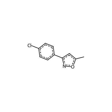 Cc1cc(-c2ccc(Cl)cc2)no1